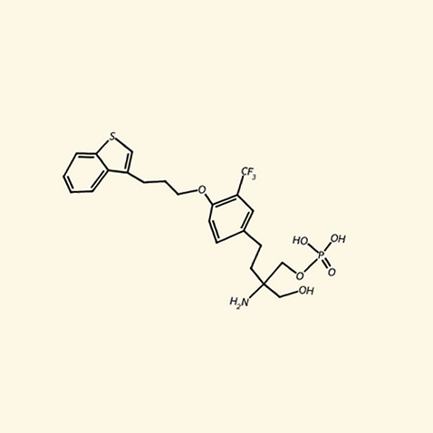 NC(CO)(CCc1ccc(OCCCc2csc3ccccc23)c(C(F)(F)F)c1)COP(=O)(O)O